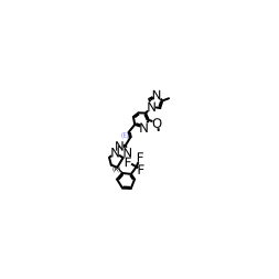 COc1nc(/C=C/c2nc3n(n2)CC[C@@H]3c2ccccc2C(F)(F)F)ccc1-n1cnc(C)c1